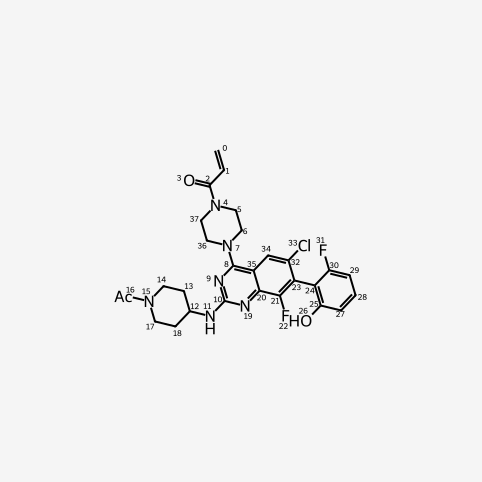 C=CC(=O)N1CCN(c2nc(NC3CCN(C(C)=O)CC3)nc3c(F)c(-c4c(O)cccc4F)c(Cl)cc23)CC1